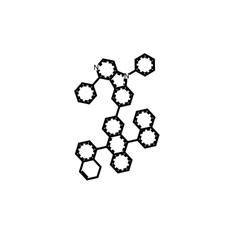 C1=Cc2cccc(-c3c4ccccc4c(-c4cccc5ccccc45)c4cc(-c5ccc6c(c5)c5c(-c7ccccc7)nccc5n6-c5ccccc5)ccc34)c2CC1